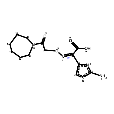 Nc1nc(/C(=N/OCC(=O)N2CCCCCC2)C(=O)O)cs1